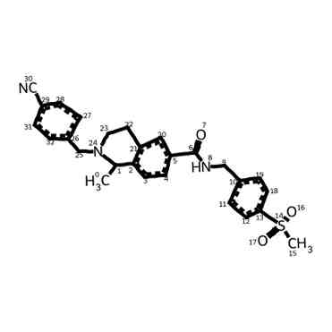 CC1c2ccc(C(=O)NCc3ccc(S(C)(=O)=O)cc3)cc2CCN1Cc1ccc(C#N)cc1